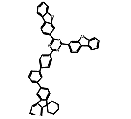 c1cc(-c2ccc(-c3nc(-c4ccc5c(c4)oc4ccccc45)nc(-c4ccc5c(c4)oc4ccccc45)n3)cc2)cc(-c2ccc3c(c2)-c2ccccc2C32CCCCC2)c1